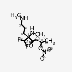 CNCCC[C@@](NC)(C(=O)OC(C)O[N+](=O)[O-])C(F)F